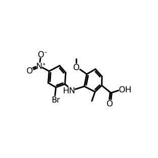 COc1ccc(C(=O)O)c(C)c1Nc1ccc([N+](=O)[O-])cc1Br